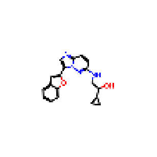 OC(CNc1ccc2ncc(-c3cc4ccccc4o3)n2n1)C1CC1